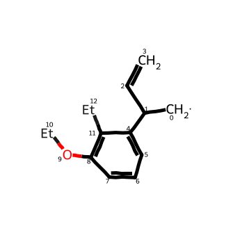 [CH2]C(C=C)c1cccc(OCC)c1CC